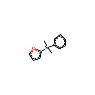 C[Si](C)(c1ccccc1)c1ccco1